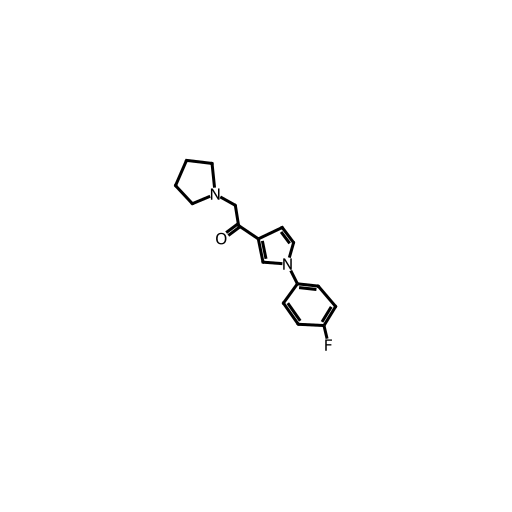 O=C(CN1CCCC1)c1ccn(-c2ccc(F)cc2)c1